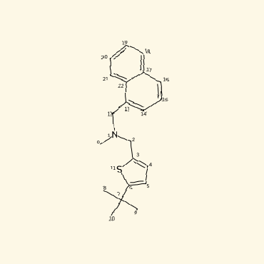 CN(Cc1ccc(C(C)(C)C)s1)Cc1cccc2ccccc12